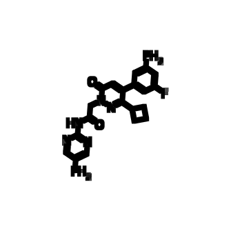 O=C(Cn1nc(C2CCC2)c(-c2cc(F)cc(P)c2)cc1=O)Nc1ncc(P)cn1